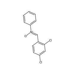 [O-]/[N+](=C\c1ccc(Cl)cc1Cl)c1ccccc1